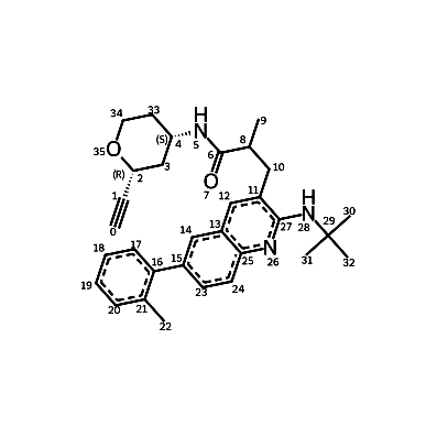 C#C[C@H]1C[C@@H](NC(=O)C(C)Cc2cc3cc(-c4ccccc4C)ccc3nc2NC(C)(C)C)CCO1